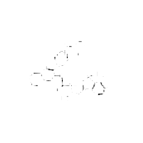 C[C@@H](CN1CC(C)(C)c2cc(F)ccc21)NC(=O)OC(CC1CCCCC1)C(=O)N1CCN(S(C)(=O)=O)CC1